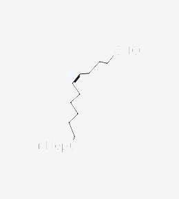 CCCCCCCCCCCC/C=C\CCCC=O